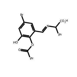 CC(C)C(=O)Oc1c(O)cc(Br)cc1C=NC(C(=O)O)C(C)C